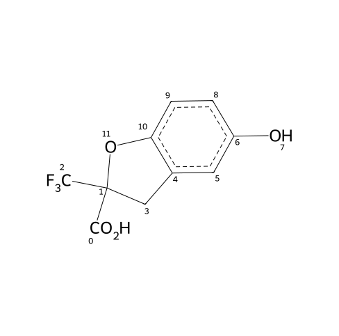 O=C(O)C1(C(F)(F)F)Cc2cc(O)ccc2O1